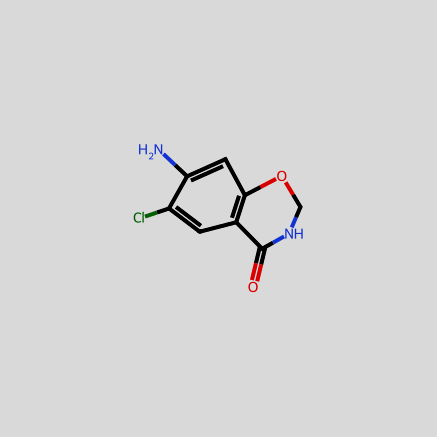 Nc1cc2c(cc1Cl)C(=O)NCO2